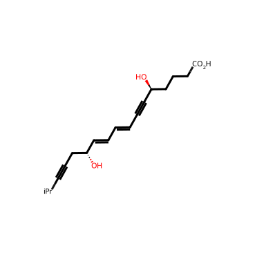 CC(C)C#CC[C@@H](O)/C=C/C=C/C#C[C@@H](O)CCCC(=O)O